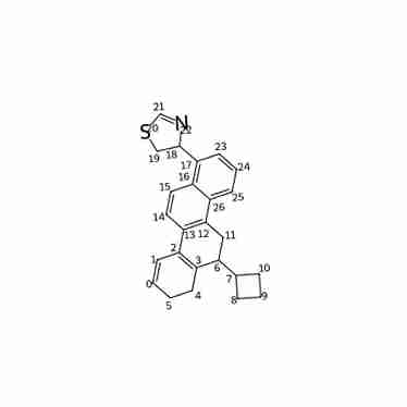 C1=CC2=C(CC1)C(C1CCC1)Cc1c2ccc2c(C3CSC=N3)cccc12